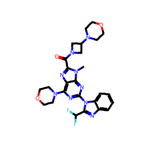 Cn1c(C(=O)N2CC(N3CCOCC3)C2)nc2c(N3CCOCC3)nc(-n3c(C(F)F)nc4ccccc43)nc21